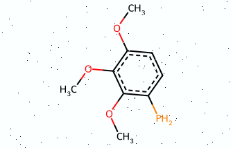 COc1ccc(P)c(OC)c1OC